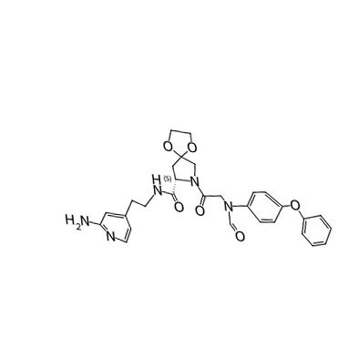 Nc1cc(CCNC(=O)[C@@H]2CC3(CN2C(=O)CN(C=O)c2ccc(Oc4ccccc4)cc2)OCCO3)ccn1